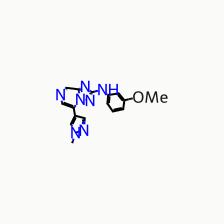 COc1cccc(Nc2nc3cncc(-c4cnn(C)c4)n3n2)c1